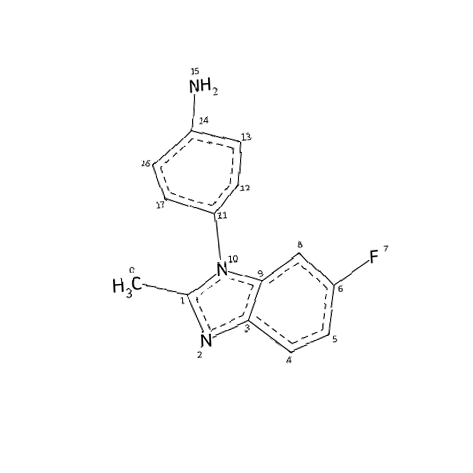 Cc1nc2ccc(F)cc2n1-c1ccc(N)cc1